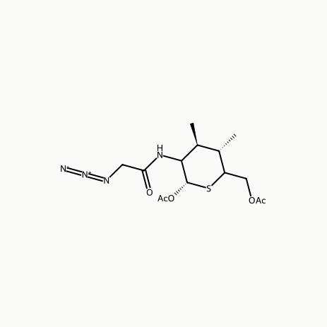 CC(=O)OCC1S[C@H](OC(C)=O)C(NC(=O)CN=[N+]=[N-])[C@@H](C)[C@@H]1C